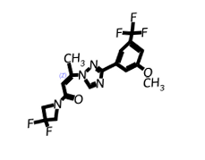 COc1cc(-c2ncn(/C(C)=C\C(=O)N3CC(F)(F)C3)n2)cc(C(F)(F)F)c1